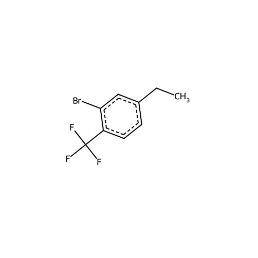 CCc1ccc(C(F)(F)F)c(Br)c1